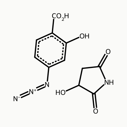 O=C1CC(O)C(=O)N1.[N-]=[N+]=Nc1ccc(C(=O)O)c(O)c1